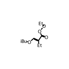 CCOOC(=O)C(=COC(C)CC)CC